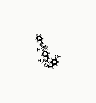 COc1ccc2ccc(=O)n(C(N)CC3CCC(NC(=O)OCc4ccccc4)CC3)c2c1